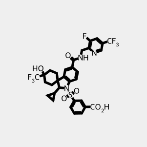 O=C(O)c1cccc(S(=O)(=O)N2c3ccc(C(=O)NCc4ncc(C(F)(F)F)cc4F)cc3C3(CCC(O)(C(F)(F)F)CC3)C2C2CC2)c1